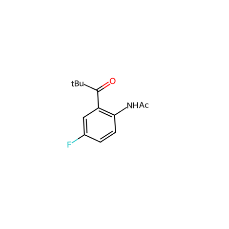 CC(=O)Nc1ccc(F)cc1C(=O)C(C)(C)C